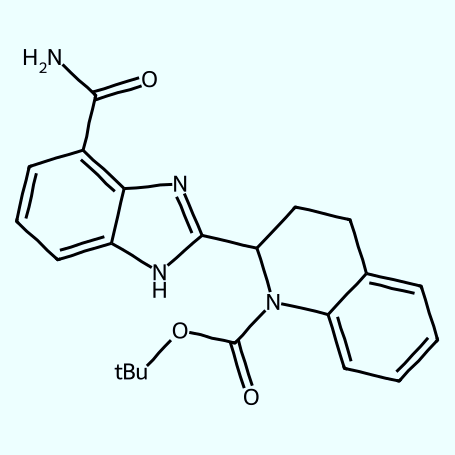 CC(C)(C)OC(=O)N1c2ccccc2CCC1c1nc2c(C(N)=O)cccc2[nH]1